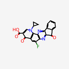 O=C1c2ccccc2-c2nc3c(nc21)c(F)cc1c(=O)c(C(=O)O)cn(C2CC2)c13